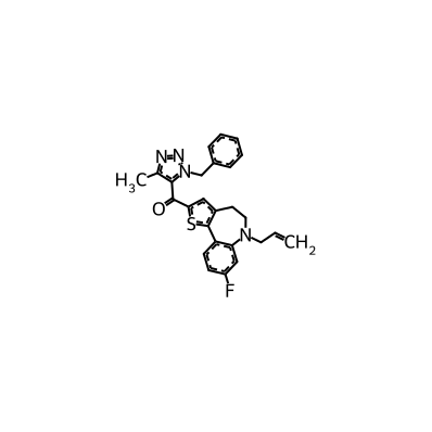 C=CCN1CCc2cc(C(=O)c3c(C)nnn3Cc3ccccc3)sc2-c2ccc(F)cc21